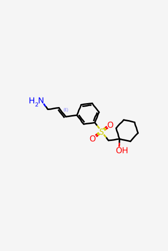 NC/C=C/c1cccc(S(=O)(=O)CC2(O)CCCCC2)c1